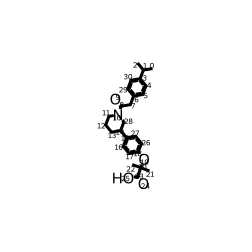 CC(C)c1ccc(CC(=O)N2CCCC(c3ccc(OC(C)(C)C(=O)O)cc3)C2)cc1